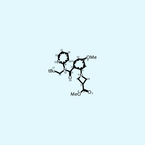 COC(=O)C1CN(c2cc(OC)ccc2C(=O)N(CC(C)(C)C)c2ccccn2)C1